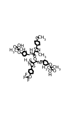 COc1ccc(-c2nc(C)c(C(=O)NCc3ccc(OC(C)(C)C(=O)O)cc3)s2)cc1.Cc1nc(-c2ccc(OC(F)(F)F)cc2)sc1C(=O)NCc1ccc(OC(C)(C)C(=O)O)cc1